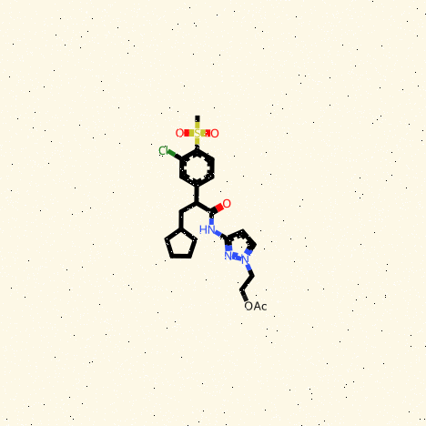 CC(=O)OCCn1ccc(NC(=O)C(CC2CCCC2)c2ccc(S(C)(=O)=O)c(Cl)c2)n1